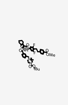 COC(=O)c1ccc(CCc2c(F)cc(NC(=O)c3c(NC(=O)c4cccc(CN5CCN(C(=O)OC(C)(C)C)CC5(C)C)c4)sc4c3CCCC4)cc2F)cc1